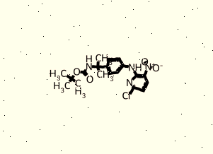 CC(C)(C)OC(=O)NC(C)(C)c1ccc(Nc2nc(Cl)ccc2[N+](=O)[O-])cc1